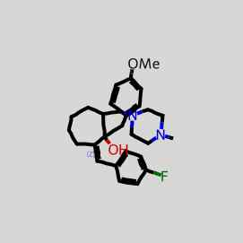 COc1ccc(CC2(O)/C(=C\c3ccc(F)cc3)CCCCC2CN2CCN(C)CC2)cc1